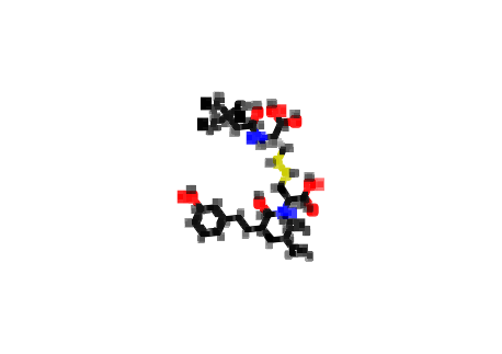 CC(C)C[C@@H](CCc1cccc(O)c1)C(=O)N[C@@H](CSSC[C@H](NC(=O)CC(C)(C)C)C(=O)O)C(=O)O